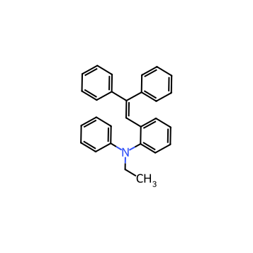 CCN(c1ccccc1)c1ccccc1C=C(c1ccccc1)c1ccccc1